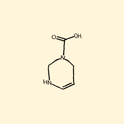 O=C(O)N1CC=CNC1